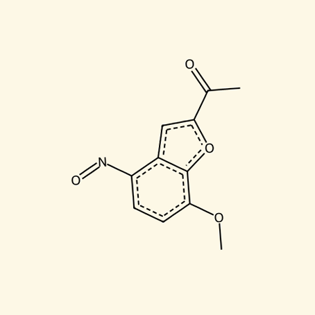 COc1ccc(N=O)c2cc(C(C)=O)oc12